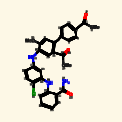 CNC(=O)c1ccc(-c2cc(OC)c(Nc3ccc(Cl)c(Nc4ccccc4C(N)=O)c3)cc2C(=O)OC)cc1